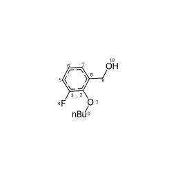 CCCCOc1c(F)cccc1CO